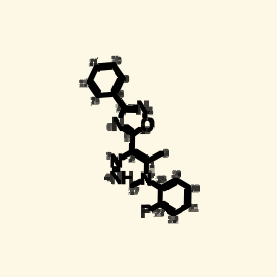 C/C(=C(/N=N)c1nc(-c2ccccc2)no1)N(C)c1ccccc1F